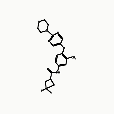 Cc1cc(NC(=O)C2CC(F)(F)C2)ccc1Oc1cnc(N2CCOCC2)nc1